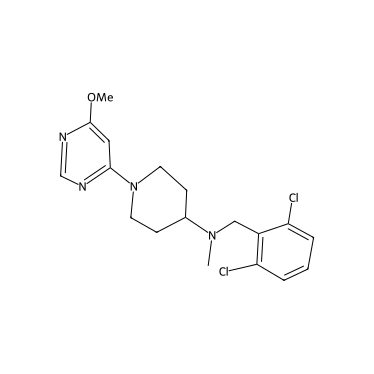 COc1cc(N2CCC(N(C)Cc3c(Cl)cccc3Cl)CC2)ncn1